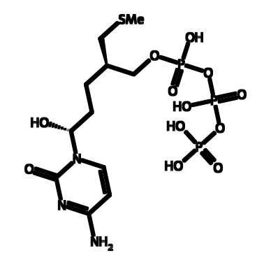 CSC[C@H](CC[C@@H](O)n1ccc(N)nc1=O)COP(=O)(O)OP(=O)(O)OP(=O)(O)O